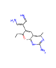 CCC(=O)C(=C\c1c(C)nc(N)nc1C)/C(C=N)=C/N